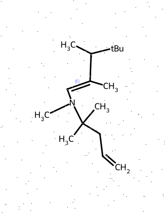 C=CCC(C)(C)N(C)/C=C(\C)C(C)C(C)(C)C